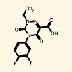 CCn1nc(C(=O)O)c(=O)n(-c2ccc(F)c(F)c2)c1=O